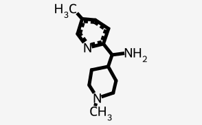 Cc1ccc(C(N)C2CCN(C)CC2)nc1